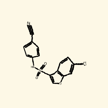 N#Cc1ccc(NS(=O)(=O)c2coc3cc(Cl)ccc23)cc1